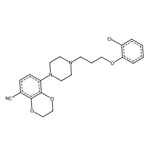 N#Cc1ccc(N2CCN(CCCOc3ccccc3Cl)CC2)c2c1OCCO2